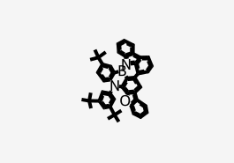 CC(C)(C)c1cc(N2c3ccc(C(C)(C)C)cc3B3c4c(cc5c(oc6ccccc65)c42)-c2cccc4c5ccccc5n3c24)cc(C(C)(C)C)c1